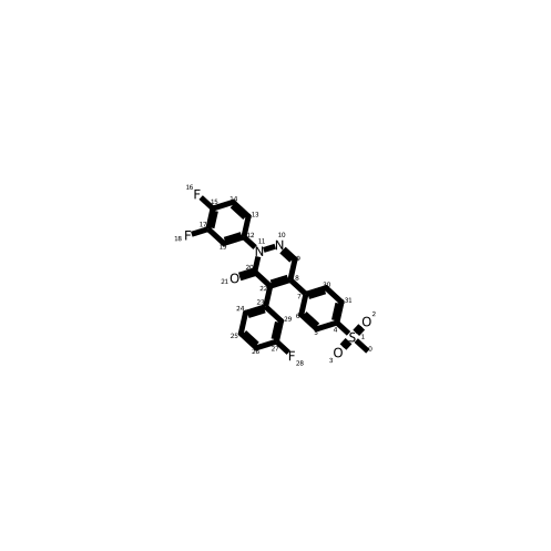 CS(=O)(=O)c1ccc(-c2cnn(-c3ccc(F)c(F)c3)c(=O)c2-c2cccc(F)c2)cc1